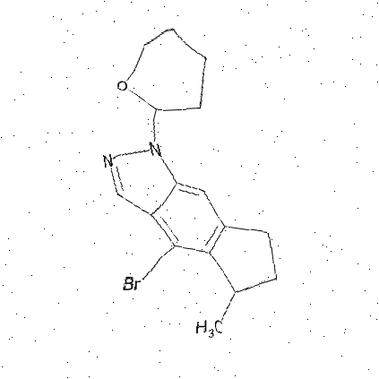 CC1CCc2cc3c(cnn3C3CCCCO3)c(Br)c21